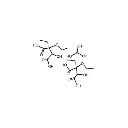 CCO[C@](CC)(C(=O)O)C(O)C(=O)O.CCO[C@](CC)(C(=O)O)C(O)C(=O)O.OB(O)O